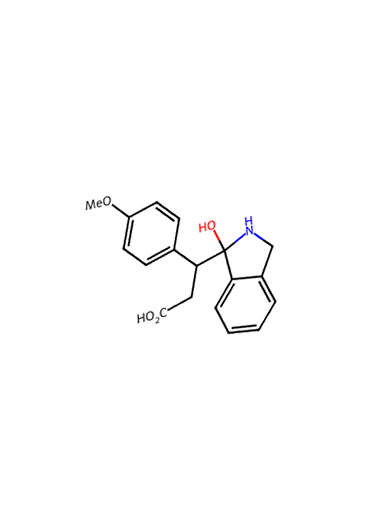 COc1ccc(C(CC(=O)O)C2(O)NCc3ccccc32)cc1